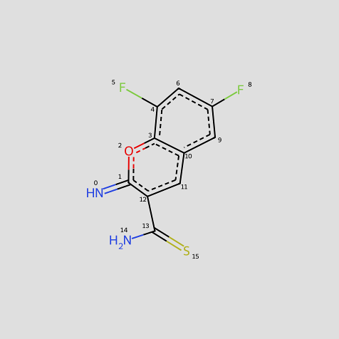 N=c1oc2c(F)cc(F)cc2cc1C(N)=S